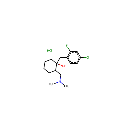 CN(C)CC1CCCCC1(O)Cc1ccc(Cl)cc1F.Cl